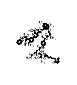 C=Cc1ccc(-c2ccc(-c3cnn(CC45CC6(C)CC(C)(C4)CC(OCCN(C)C(=O)OCc4ccc(NC(=O)[C@H](CCCNC(N)=O)NC(=O)[C@@H](NC(=O)CCCCCN7C(=O)C=CC7=O)C(C)C)cc4)(C6)C5)c3C)c(C(=O)O)n2)cc1/C(=C\N=O)C(=O)Nc1nc2ccccc2s1